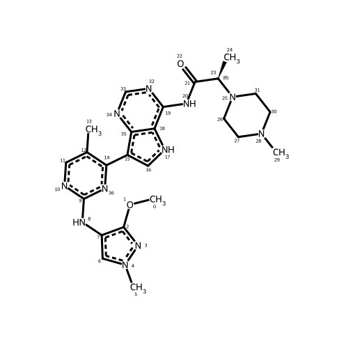 COc1nn(C)cc1Nc1ncc(C)c(-c2c[nH]c3c(NC(=O)[C@@H](C)N4CCN(C)CC4)ncnc23)n1